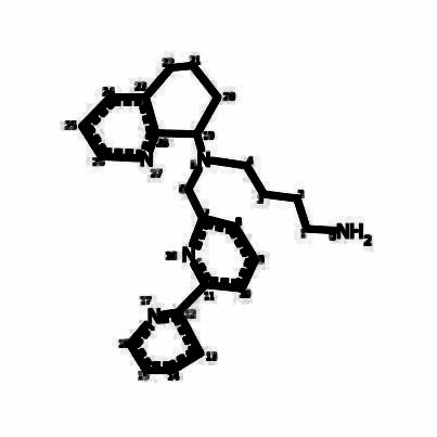 NCCCCN(Cc1cccc(-c2ccccn2)n1)C1CCCc2cccnc21